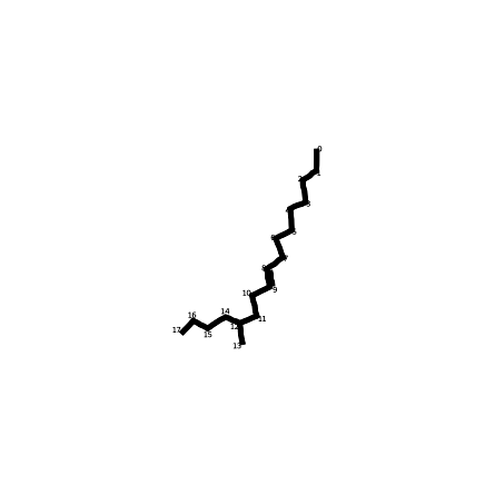 CCCCCCCCC=CCCC(C)CCCC